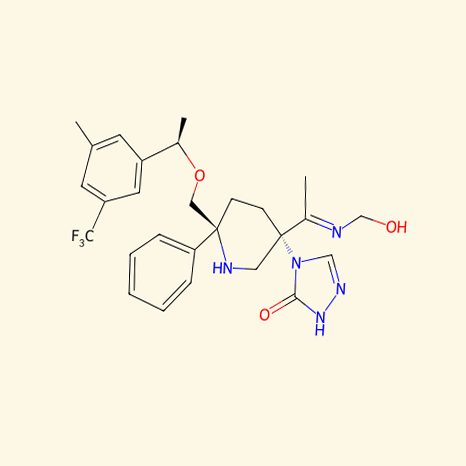 C/C(=N\CO)[C@]1(n2cn[nH]c2=O)CC[C@@](CO[C@H](C)c2cc(C)cc(C(F)(F)F)c2)(c2ccccc2)NC1